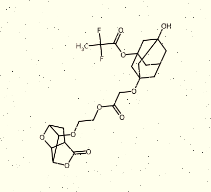 CC(F)(F)C(=O)OC12CC3CC(O)(CC(OCC(=O)OCCOC4C5CC6C(=O)OC4C6O5)(C3)C1)C2